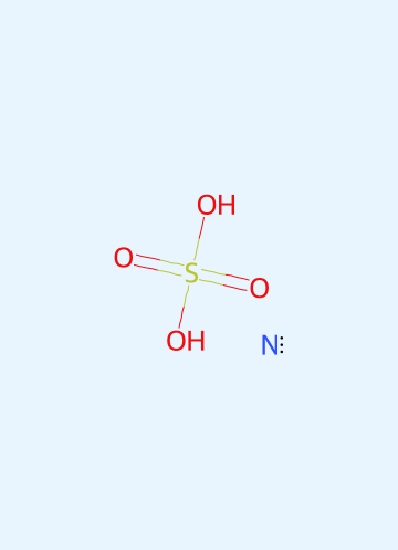 O=S(=O)(O)O.[N]